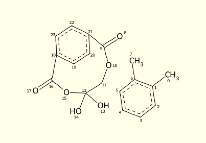 Cc1ccccc1C.O=C1OCC(O)(O)OC(=O)c2ccc1cc2